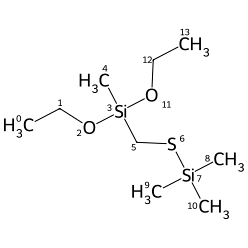 CCO[Si](C)(CS[Si](C)(C)C)OCC